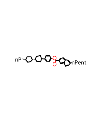 CCCCCc1ccc2cc(C(=O)Oc3ccc(C4CCC([C@H]5CC[C@H](CCC)CC5)CC4)cc3)ccc2c1